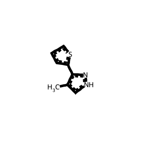 Cc1[c][nH]nc1-c1cccs1